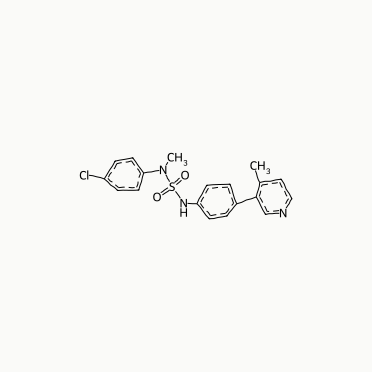 Cc1ccncc1-c1ccc(NS(=O)(=O)N(C)c2ccc(Cl)cc2)cc1